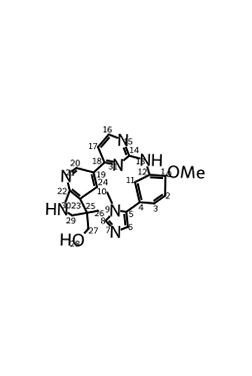 COc1ccc(-c2cncn2C)cc1Nc1nccc(-c2cnc3c(c2)C(C)(CO)CN3)n1